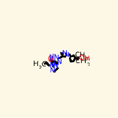 CCCn1c(=O)c2[nH]c(-c3cnn(Cc4cccc(C(C)(C)O)c4)c3)nc2n2ccnc12